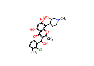 Cc1cccc(C(O)c2c(C)oc3c(C4CCN(C)CC4O)c(O)cc(O)c3c2=O)c1Cl